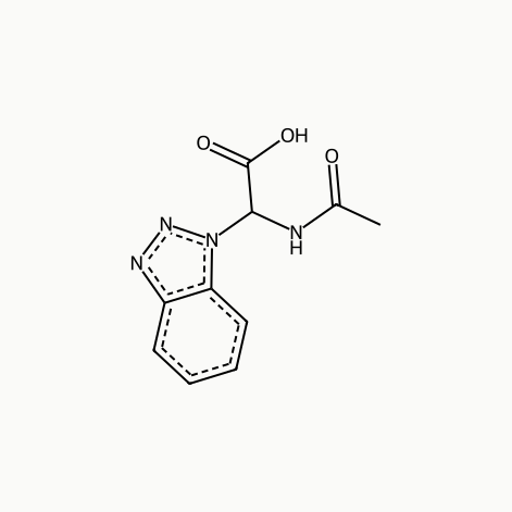 CC(=O)NC(C(=O)O)n1nnc2ccccc21